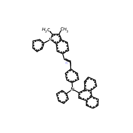 Cc1c(C)n(-c2ccccc2)c2cc(/C=C/c3ccc(N(c4ccccc4)c4cc5ccccc5c5ccccc45)cc3)ccc12